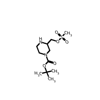 CC(C)(C)OC(=O)N1CCNC(COS(C)(=O)=O)C1